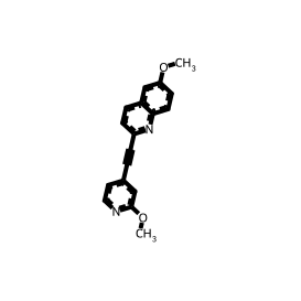 COc1ccc2nc(C#Cc3ccnc(OC)c3)ccc2c1